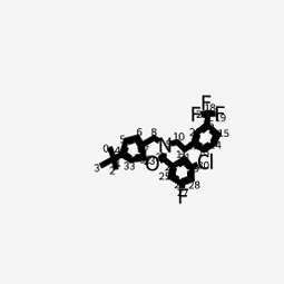 CC(C)(C)c1ccc(CN(CCc2cccc(C(F)(F)F)c2)C(=O)c2cc(F)cc(Cl)c2)cc1